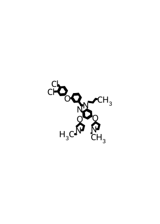 CCCCn1c(-c2cccc(Oc3ccc(Cl)c(Cl)c3)c2)nc2c(OC3CCN(CC)C3)cc(OC3CCN(CC)C3)cc21